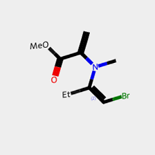 C=C(C(=O)OC)N(C)/C(=C\Br)CC